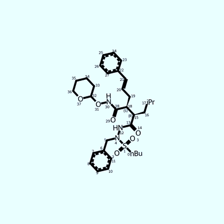 CCCCS(=O)(=O)N(Cc1ccccc1)NC(=O)[C@H](CC(C)C)[C@H](CC=Cc1ccccc1)C(=O)NOC1CCCCO1